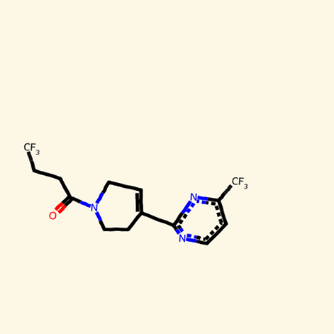 O=C(CCC(F)(F)F)N1CC=C(c2nccc(C(F)(F)F)n2)CC1